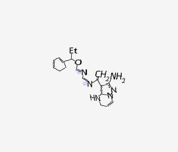 C=C(/N=C\N=C\OC(CC)C1=CC=CCC1)c1c(N)nn2c1NCC=C2